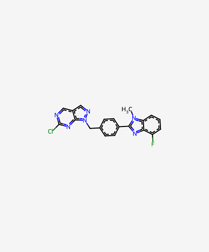 Cn1c(-c2ccc(Cn3ncc4cnc(Cl)nc43)cc2)nc2c(F)cccc21